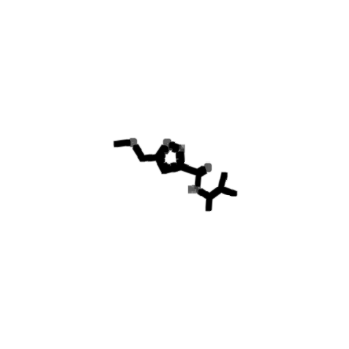 COCc1cc(C(=O)NC(C)C(C)C)no1